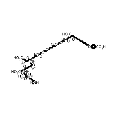 CCC[C@H](CCC(=O)[C@H](CCC(=O)O)NC(=O)C(C)(C)C(=O)NCCc1c[nH]cn1)C(=O)CN[C@@H](CCCCNC(=O)COCCOCCCC(=O)COCCOCCNC(=O)CC[C@H](CC(=O)CCCCCCCCCOc1ccc(C(=O)O)cc1)C(=O)O)C(=O)C[C@@H](CCC(=O)O)C(C)=O